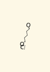 O=CCCCC=O.[C]